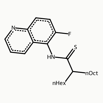 CCCCCCCCC(CCCCCC)C(=S)Nc1c(F)ccc2ncccc12